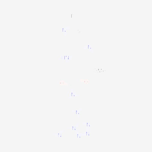 CCc1ncc(-c2ncc(OC)c3c(C(=O)C(=O)N4CCN(c5nnnn5-c5ccccn5)CC4)c[nH]c23)s1